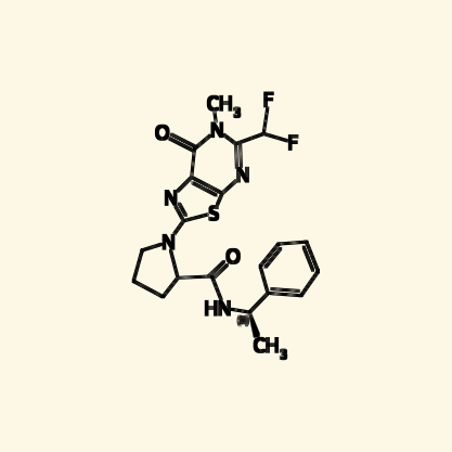 C[C@@H](NC(=O)C1CCCN1c1nc2c(=O)n(C)c(C(F)F)nc2s1)c1ccccc1